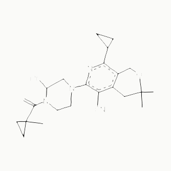 CC(C)C1CN(c2nc(C3CC3)c3c(c2C#N)CC(C)(C)OC3)CCN1C(=O)C1(C)CC1